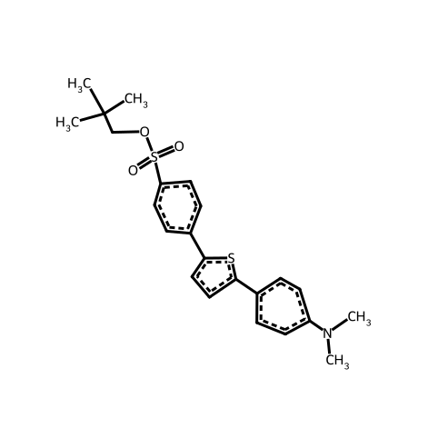 CN(C)c1ccc(-c2ccc(-c3ccc(S(=O)(=O)OCC(C)(C)C)cc3)s2)cc1